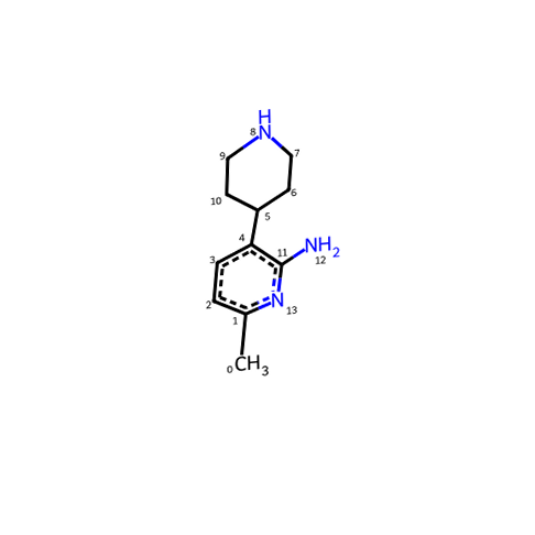 Cc1ccc(C2CCNCC2)c(N)n1